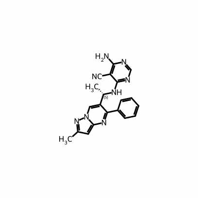 Cc1cc2nc(-c3ccccc3)c([C@H](C)Nc3ncnc(N)c3C#N)cn2n1